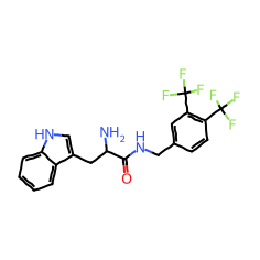 NC(Cc1c[nH]c2ccccc12)C(=O)NCc1ccc(C(F)(F)F)c(C(F)(F)F)c1